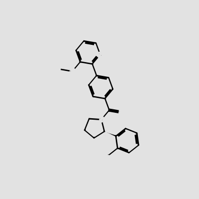 COc1cccnc1-c1ccc(C(=O)N2CCC[C@@H]2c2ccccc2Cl)cc1